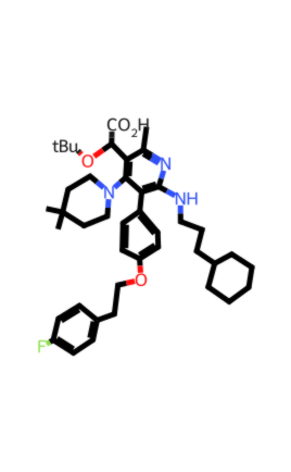 Cc1nc(NCCCC2CCCCC2)c(-c2ccc(OCCc3ccc(F)cc3)cc2)c(N2CCC(C)(C)CC2)c1C(OC(C)(C)C)C(=O)O